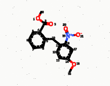 COC(=O)c1ccccc1Cc1ccc(OC)cc1[N+](=O)[O-]